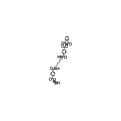 B=NOC(=O)c1ccc(C(=O)NCCCCCCNC(=O)c2ccc(C(=O)ON3C(=O)C4C5C=CC(C5)C4C3=O)cc2)cc1